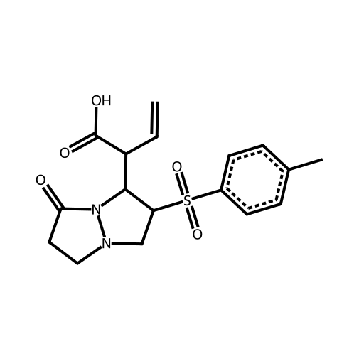 C=CC(C(=O)O)C1C(S(=O)(=O)c2ccc(C)cc2)CN2CCC(=O)N12